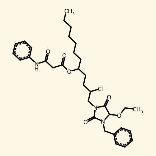 CCCCCCCC(CCC(Cl)CN1C(=O)C(OCC)N(Cc2ccccc2)C1=O)OC(=O)CC(=O)Nc1ccccc1